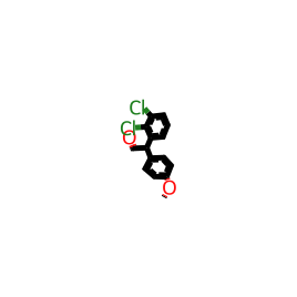 COc1ccc(C(C=O)c2cccc(Cl)c2Cl)cc1